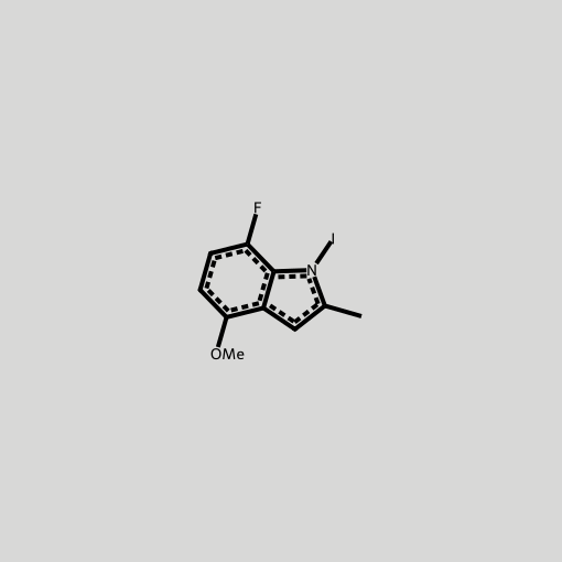 COc1ccc(F)c2c1cc(C)n2I